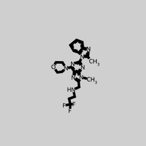 Cc1nc2ccccc2n1-c1nc(N2CCOCC2)c2nc(CNCCC(F)(F)F)n(C)c2n1